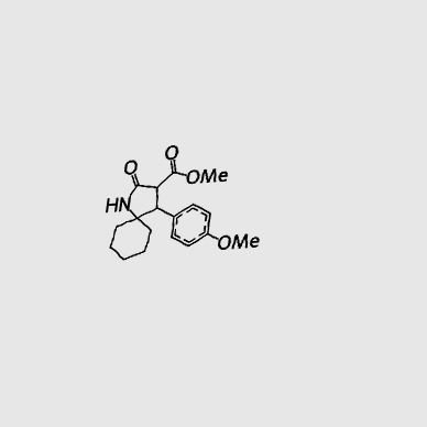 COC(=O)C1C(=O)NC2(CCCCC2)C1c1ccc(OC)cc1